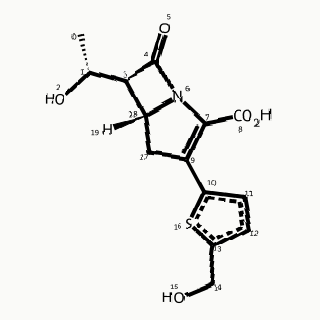 C[C@@H](O)[C@H]1C(=O)N2C(C(=O)O)=C(c3ccc(CO)s3)C[C@H]12